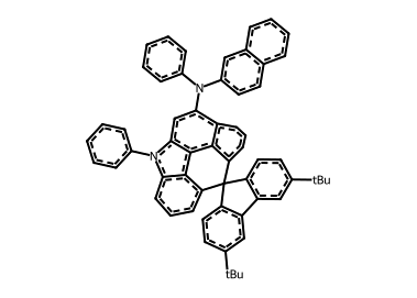 CC(C)(C)c1ccc2c(c1)-c1cc(C(C)(C)C)ccc1C21c2cccc3c(N(c4ccccc4)c4ccc5ccccc5c4)cc4c(c23)c2c1cccc2n4-c1ccccc1